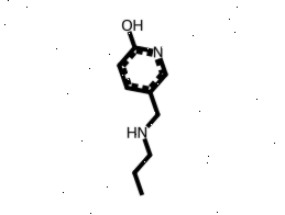 CCCNCc1ccc(O)nc1